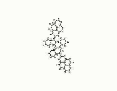 C1=CC2CC=c3cc(-n4c5ccccc5c5c6c7ccccc7c(-c7cc8ccc9cccc%10ccc(c7)c8c9%10)cc6c6ccccc6c54)cc4ccc(c2c34)=C1